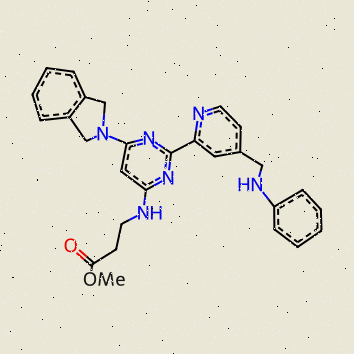 COC(=O)CCNc1cc(N2Cc3ccccc3C2)nc(-c2cc(CNc3ccccc3)ccn2)n1